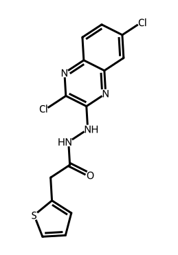 O=C(Cc1cccs1)NNc1nc2cc(Cl)ccc2nc1Cl